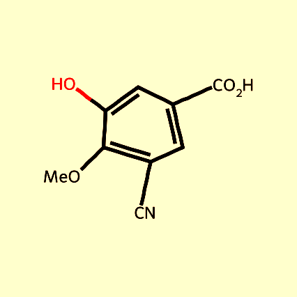 COc1c(O)cc(C(=O)O)cc1C#N